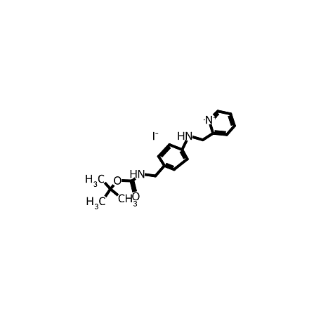 CC(C)(C)OC(=O)NCc1ccc(NCC2=CC=CC=[N+]2)cc1.[I-]